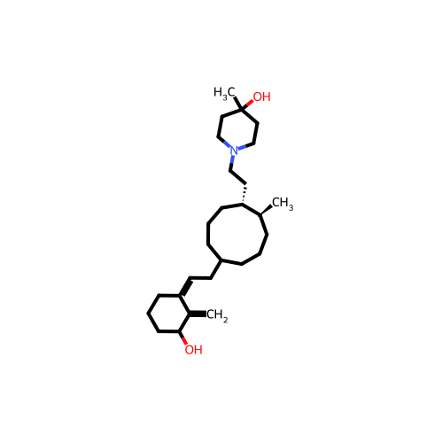 C=C1/C(=C\CC2CCC[C@H](CCN3CCC(C)(O)CC3)[C@@H](C)CCC2)CCCC1O